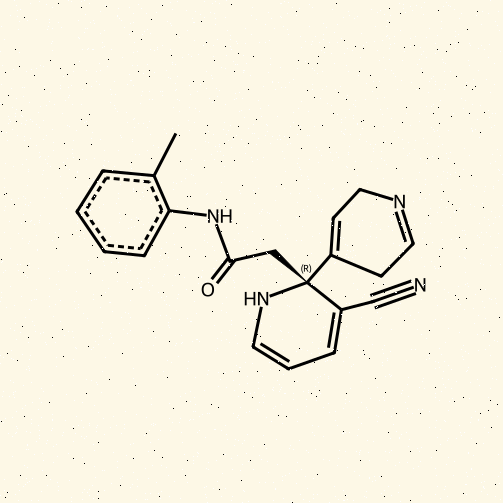 Cc1ccccc1NC(=O)C[C@]1(C2=CCN=CC2)NC=CC=C1C#N